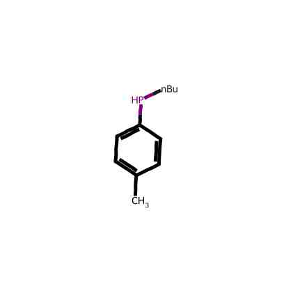 CCCCPc1ccc(C)cc1